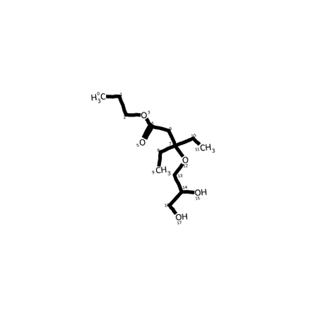 CCCOC(=O)CC(CC)(CC)OCC(O)CO